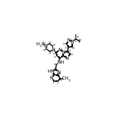 Cc1ccnc2[nH]c(CNc3cc(N4CCN(C)CC4)nn4c(-c5cnn(C(F)F)c5)cnc34)nc12